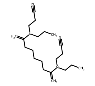 C=C(CCCCCC(=C)N(CCC)CCC#N)N(CCC)CCC#N